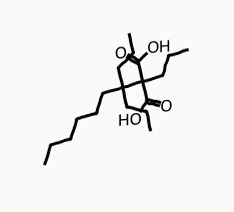 CCCCCCC(CCC)(CCC)C(CCC)(C(=O)O)C(=O)O